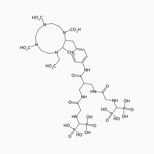 CC1C(Cc2ccc(NC(=O)C(CNC(=O)CNC(P(=O)(O)O)P(=O)(O)O)CNC(=O)CNC(P(=O)(O)O)P(=O)(O)O)cc2)N(C(=O)O)CCN(C(=O)O)CCN(C(=O)O)CCN1CC(=O)O